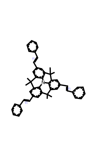 CC1(C)c2cc(/C=C/c3ccccc3)cc3c2N2c4c1cc(/C=C/c1ccccc1)cc4C(C)(C)c1cc(/C=C/c4ccccc4)cc(c12)C3(C)C